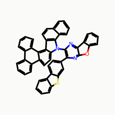 c1ccc2c(c1)ccc1c3c4c5ccccc5c5ccccc5c4ccc3n(-c3nc4c(nc3-c3ccc5c(c3)sc3ccccc35)oc3ccccc34)c21